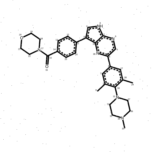 Cc1cc(-c2cnc3[nH]cc(-c4ccc(C(=O)N5CCOCC5)cc4)c3n2)cc(C)c1N1CCN(C)CC1